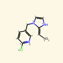 O=[N+]([O-])C=C1NC=CN1Cc1ccc(Cl)nc1